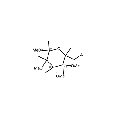 COC1(C)[C@@](C)(OC)OC(C)(CO)[C@@](C)(OC)[C@]1(C)OC